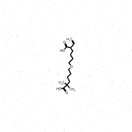 C=CC(CCCCOCCCCC(C)(C)C(=O)O)C(=O)O